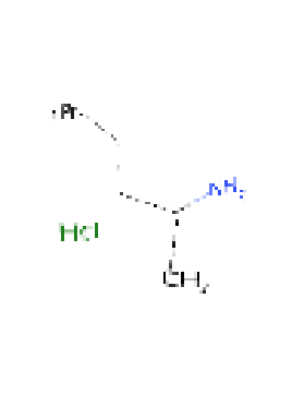 CCCCCC(C)N.Cl